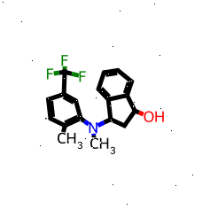 Cc1[c]cc(C(F)(F)F)cc1N(C)C1CC(O)c2ccccc21